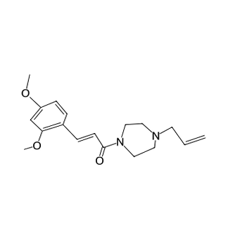 C=CCN1CCN(C(=O)C=Cc2ccc(OC)cc2OC)CC1